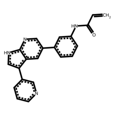 C=CC(=O)Nc1cccc(-c2cnc3[nH]cc(-c4cccnc4)c3c2)c1